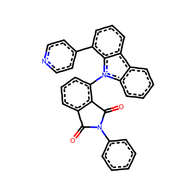 O=C1c2cccc(-n3c4ccccc4c4cccc(-c5ccncc5)c43)c2C(=O)N1c1ccccc1